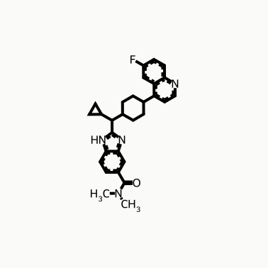 CN(C)C(=O)c1ccc2[nH]c(C(C3CCC(c4ccnc5ccc(F)cc45)CC3)C3CC3)nc2c1